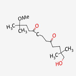 COC(C)(C)CCC(=O)CCCC(=O)CCC(C)(C)CO